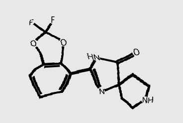 O=C1NC(c2cccc3c2OC(F)(F)O3)=NC12CCNCC2